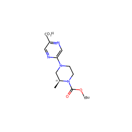 C[C@H]1CN(c2cnc(C(=O)O)cn2)CCN1C(=O)OC(C)(C)C